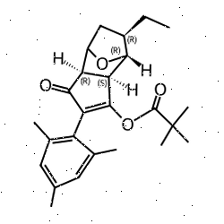 CC[C@@H]1CC2O[C@H]1[C@H]1C(OC(=O)C(C)(C)C)=C(c3c(C)cc(C)cc3C)C(=O)[C@@H]21